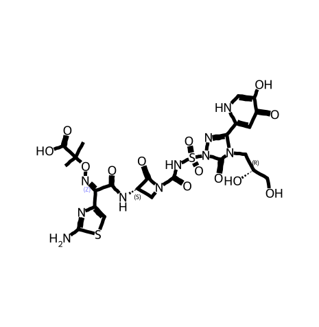 CC(C)(O/N=C(\C(=O)N[C@H]1CN(C(=O)NS(=O)(=O)n2nc(-c3cc(=O)c(O)c[nH]3)n(C[C@@H](O)CO)c2=O)C1=O)c1csc(N)n1)C(=O)O